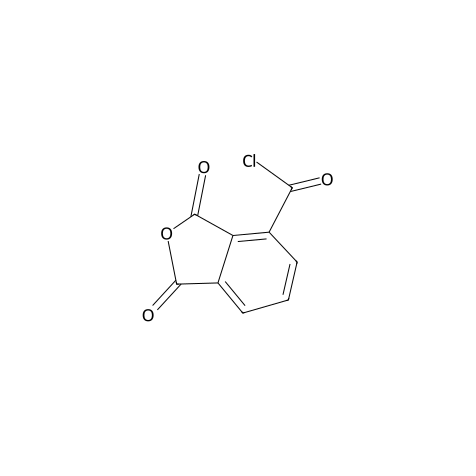 O=C(Cl)c1cccc2c1C(=O)OC2=O